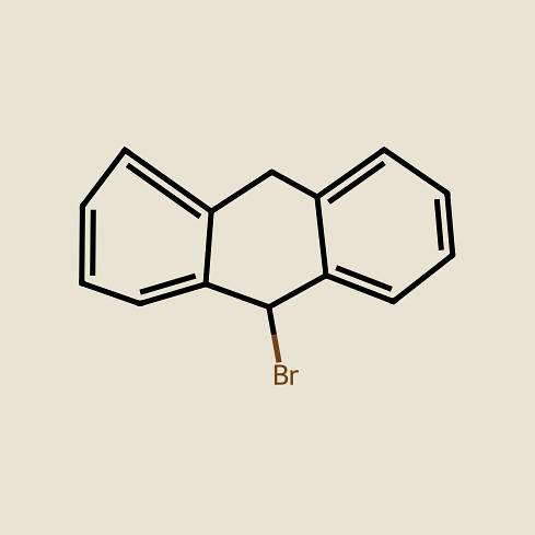 BrC1c2ccccc2Cc2ccccc21